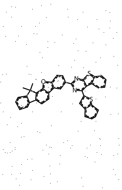 CC1(C)c2ccccc2-c2ccc3c(oc4ccc(-c5nc(-c6cc7ccccc7s6)c6c(n5)sc5ccccc56)cc43)c21